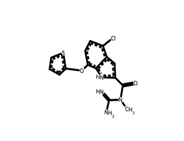 CN(C(=N)N)C(=O)c1cc2c(Cl)ccc(Oc3cccs3)c2[nH]1